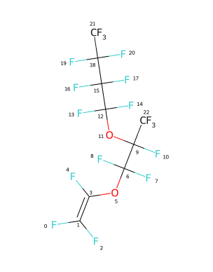 FC(F)=C(F)OC(F)(F)C(F)(OC(F)(F)C(F)(F)C(F)(F)C(F)(F)F)C(F)(F)F